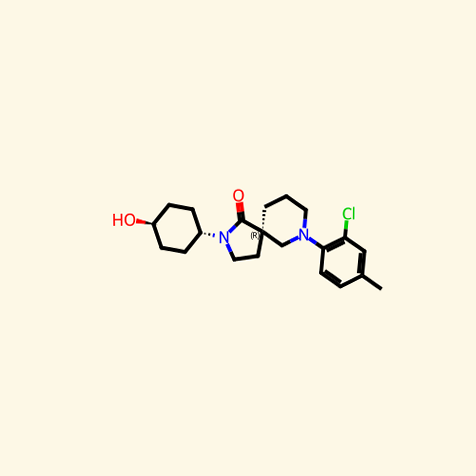 Cc1ccc(N2CCC[C@@]3(CCN([C@H]4CC[C@H](O)CC4)C3=O)C2)c(Cl)c1